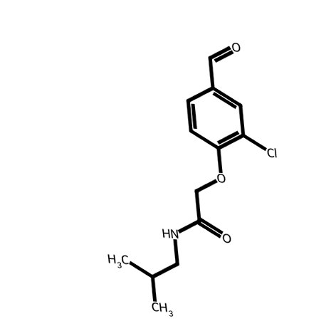 CC(C)CNC(=O)COc1ccc(C=O)cc1Cl